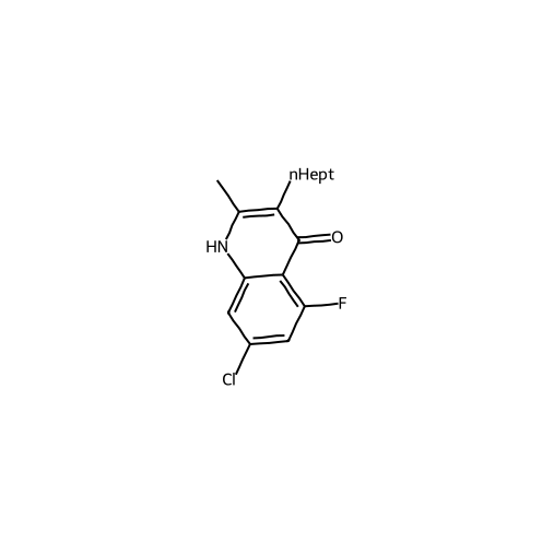 CCCCCCCc1c(C)[nH]c2cc(Cl)cc(F)c2c1=O